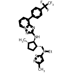 CCN(C[C@@H]1CC[C@H](C)[C@H]1Nc1nc2c(-c3ccc(C(F)(F)C(F)(F)F)cc3)cccn2n1)c1cc(C)ns1